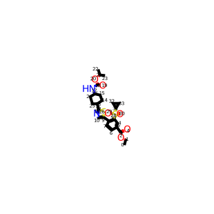 CCOC(=O)c1ccc(-c2cnc(C3CCC(NC(=O)OC(C)C)CC3)s2)c(S(=O)(=O)C2CC2)c1